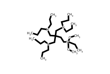 CCCN(CCC)CC(CC[Si](CC)(OC)OC)(CN(CCC)CCC)CN(CCC)CCC